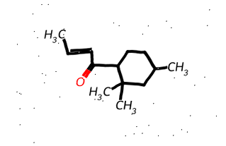 CC=CC(=O)C1CCC(C)CC1(C)C